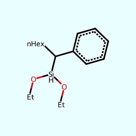 CCCCCCC(c1ccccc1)[SiH](OCC)OCC